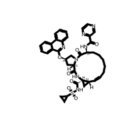 O=C(N[C@H]1CCCCCC=C[C@@H]2C[C@@]2(C(=O)NS(=O)(=O)C2CC2)NC(=O)[C@@H]2C[C@@H](Oc3nc4ccccc4c4ccccc34)CN2C1=O)c1cnccn1